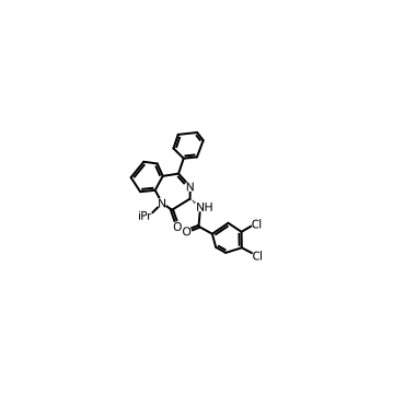 CC(C)N1C(=O)[C@@H](NC(=O)c2ccc(Cl)c(Cl)c2)N=C(c2ccccc2)c2ccccc21